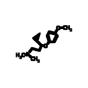 COc1ccc(OC(CCN(C)C)C2CC2)cc1